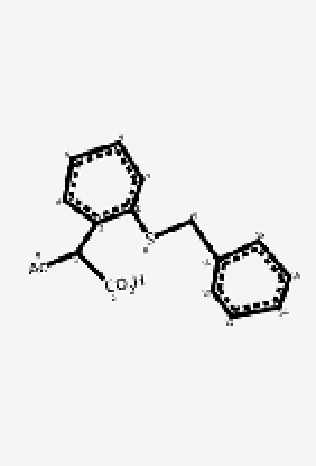 CC(=O)C(C(=O)O)c1ccccc1SCc1ccccc1